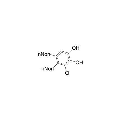 CCCCCCCCCc1cc(O)c(O)c(Cl)c1CCCCCCCCC